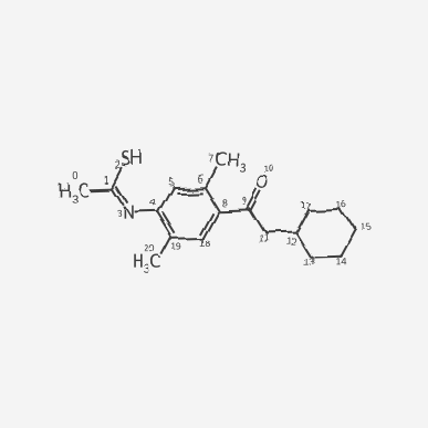 C/C(S)=N/c1cc(C)c(C(=O)CC2CCCCC2)cc1C